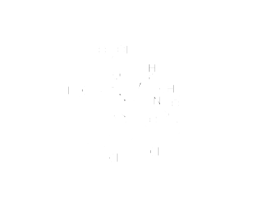 CC[C@@H](CN(C)S(=O)(=O)C1CC1)N1C(=O)[C@](C)(CCC(=O)O)C[C@@H](c2cccc(Cl)c2)[C@@H]1c1ccc(Cl)cc1